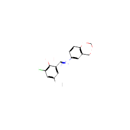 Cc1cc(Cl)c(O)c(/C=N/c2ccc3c(c2)COCO3)c1